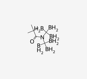 BC(B)(B)N(C(=O)C(C)(C)C)C(B)(B)B